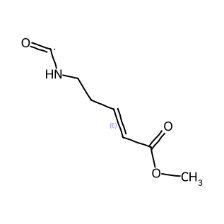 COC(=O)/C=C/CCN[C]=O